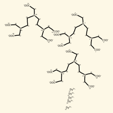 O=C([O-])CN(CCN(CC(=O)[O-])CC(=O)[O-])CCN(CC(=O)[O-])CC(=O)[O-].O=C([O-])CN(CCN(CC(=O)[O-])CC(=O)[O-])CCN(CC(=O)[O-])CC(=O)[O-].O=C([O-])CN(CCN(CC(=O)[O-])CC(=O)[O-])CCN(CC(=O)[O-])CC(=O)[O-].[Dy+3].[Dy+3].[Dy+3].[Dy+3].[Dy+3]